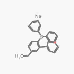 C=Cc1ccc(B(c2ccccc2)c2ccccc2)c(-c2ccccc2)c1.[Na]